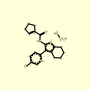 O=C(Nc1sc2c(c1-c1ccc(Cl)cn1)CCCC2)C1=CCCC1.O=C(O)O